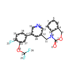 O=C1OCc2ccccc2N1Cc1cncc(-c2ccc(F)c(OC(F)F)c2)c1